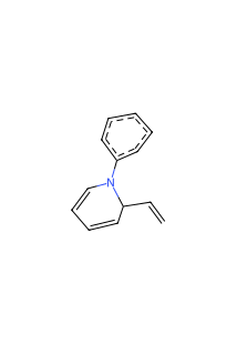 C=CC1C=CC=CN1c1ccccc1